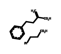 C=C(CCc1ccccc1)C(=O)O.CC(C)CCC(=O)O